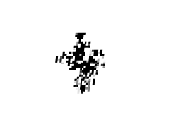 [2H]C([2H])([2H])NC(=O)Oc1nc(-c2cnn(C)c2-c2c(F)cc3c(c2C#N)CN(C2CC2)C3=O)cc2c(CN)n[nH]c(=O)c12